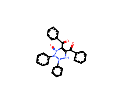 O=C(C1=C(C(=O)c2ccccc2)[N+](=O)N(c2ccccc2)N(c2ccccc2)N1)c1ccccc1